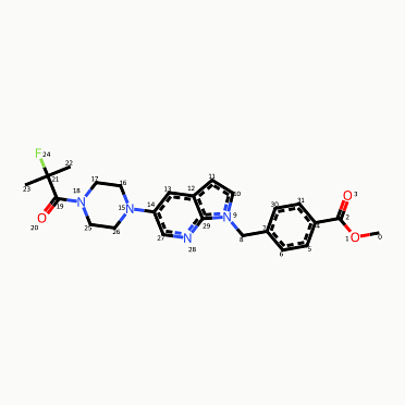 COC(=O)c1ccc(Cn2ccc3cc(N4CCN(C(=O)C(C)(C)F)CC4)cnc32)cc1